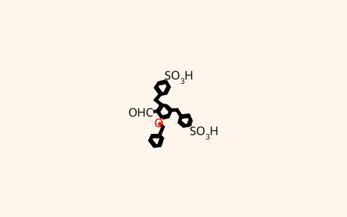 O=Cc1c(Cc2ccc(S(=O)(=O)O)cc2)cc(Cc2ccc(S(=O)(=O)O)cc2)cc1OCc1ccccc1